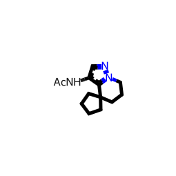 CC(=O)Nc1cnn2c1C1(CCCC1)CCC2